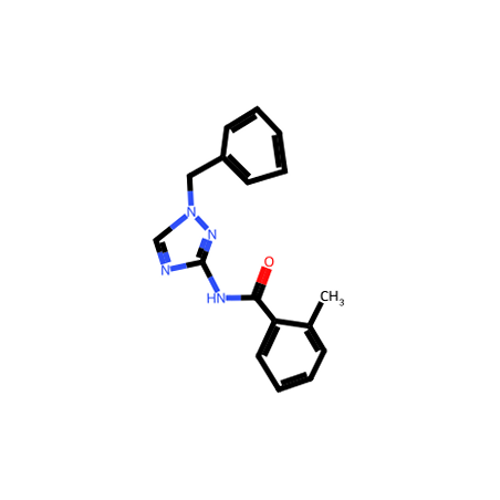 Cc1ccccc1C(=O)Nc1ncn(Cc2ccccc2)n1